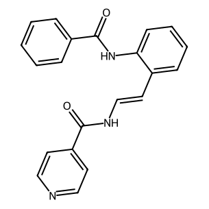 O=C(NC=Cc1ccccc1NC(=O)c1ccccc1)c1ccncc1